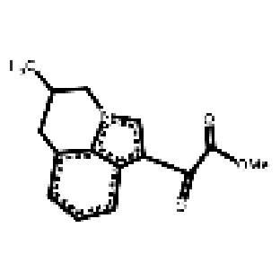 COC(=O)C(=O)c1cn2c3c(cccc13)CC(C)C2